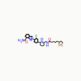 NC(=O)c1cccc2cn(-c3ccc(C4CCCC(CNC(=O)CCCCC5CCSS5)N4)cc3F)nc12